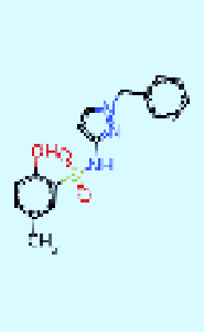 Cc1ccc(O)c(S(=O)(=O)Nc2ccn(Cc3ccccc3)n2)c1